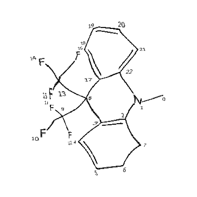 CN1C2=C(C=CCC2)C(C(F)(F)F)(C(F)(F)F)c2ccccc21